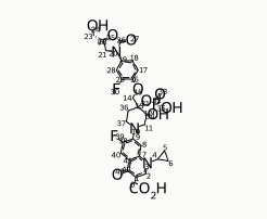 O=C(O)c1cn(C2CC2)c2cc(N3CCC(COc4ccc(N5C[C@H](CO)OC5=O)cc4F)(OP(=O)(O)O)CC3)c(F)cc2c1=O